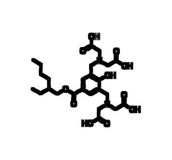 CCCCC(CC)COC(=O)c1cc(CN(CC(=O)O)CC(=O)O)c(O)c(CN(CC(=O)O)CC(=O)O)c1